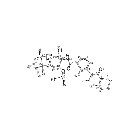 CCN(C(=O)c1ccccc1F)c1cccc(C(=O)Nc2c(Cl)cc(C(F)(C(F)(F)F)C(F)(F)F)cc2OC(F)F)c1F